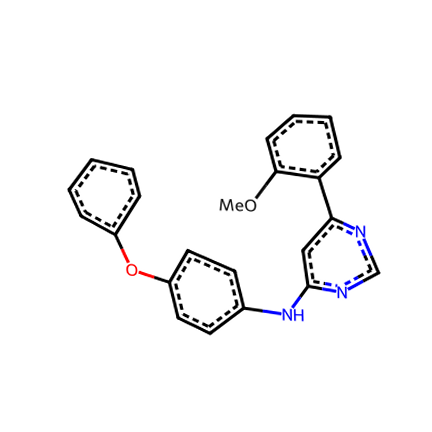 COc1ccccc1-c1cc(Nc2ccc(Oc3ccccc3)cc2)ncn1